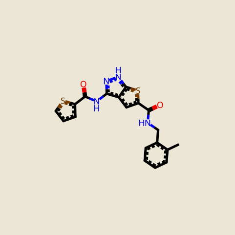 Cc1ccccc1CNC(=O)c1cc2c(NC(=O)c3cccs3)n[nH]c2s1